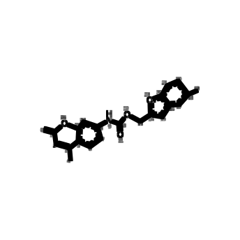 C=C1C=C(C)c2ccc(NC(=O)OCc3cc4cc(C)ccc4o3)cc2O1